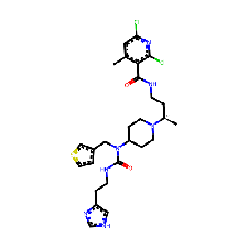 Cc1cc(Cl)nc(Cl)c1C(=O)NCC[C@@H](C)N1CCC(N(Cc2ccsc2)C(=O)NCCc2c[nH]cn2)CC1